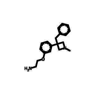 CN1CC(Cc2ccccc2)(c2cccc(OCCN)c2)C1